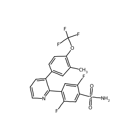 Cc1cc(-c2cccnc2-c2cc(F)c(S(N)(=O)=O)cc2F)ccc1OC(F)(F)F